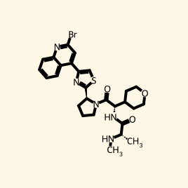 CN[C@@H](C)C(=O)N[C@H](C(=O)N1CCC[C@H]1c1nc(-c2cc(Br)nc3ccccc23)cs1)C1CCOCC1